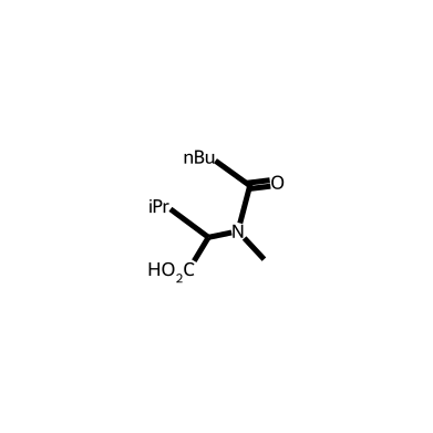 CCCCC(=O)N(C)C(C(=O)O)C(C)C